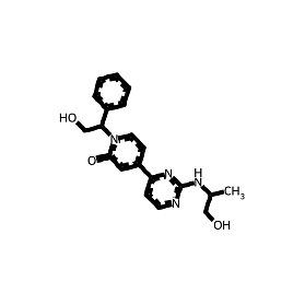 CC(CO)Nc1nccc(-c2ccn(C(CO)c3ccccc3)c(=O)c2)n1